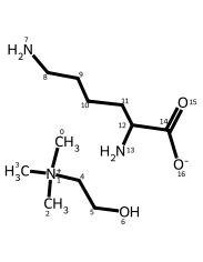 C[N+](C)(C)CCO.NCCCCC(N)C(=O)[O-]